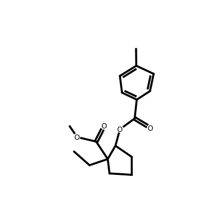 CCC1(C(=O)OC)CCCC1OC(=O)c1ccc(C)cc1